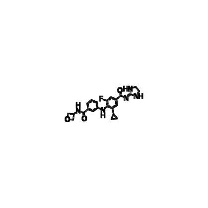 O=C(N=C1NCCN1)c1cc(F)c(Nc2cccc(C(=O)NC3COC3)c2)c(C2CC2)c1